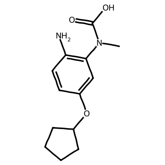 CN(C(=O)O)c1cc(OC2CCCC2)ccc1N